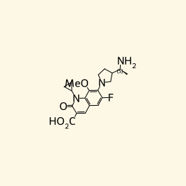 COc1c(N2CCC([C@H](C)N)C2)c(F)cc2cc(C(=O)O)c(=O)n(C3CC3)c12